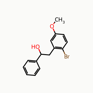 COc1ccc(Br)c(CC(O)c2ccccc2)c1